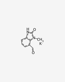 Cn1c(=O)[nH]c2cccc(C=O)c21.[K]